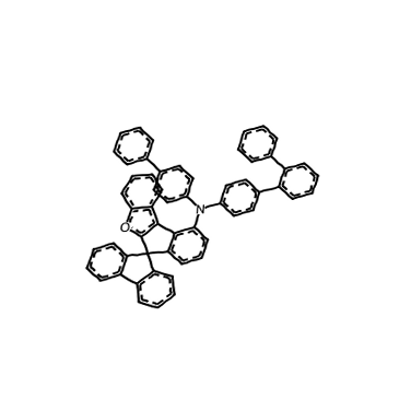 c1ccc(-c2ccc(N(c3ccc(-c4ccccc4-c4ccccc4)cc3)c3cccc4c3-c3c(oc5ccccc35)C43c4ccccc4-c4ccccc43)cc2)cc1